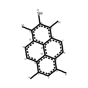 Cc1cc(C)c2ccc3c(C)c(S)c(C)c4ccc1c2c43